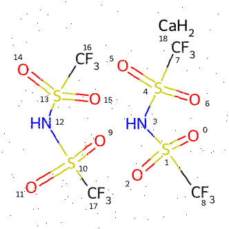 O=S(=O)(NS(=O)(=O)C(F)(F)F)C(F)(F)F.O=S(=O)(NS(=O)(=O)C(F)(F)F)C(F)(F)F.[CaH2]